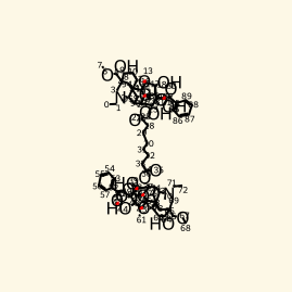 CCN1CC2(COC)C(O)CC(OC)C34C5CC6(O)C(CO)C(O)C(OC(=O)CCCCCCC(=O)OC78C(O)C(OC)C9(O)CC(C7C9OC(=O)c7ccccc7)C79C(OC)CC(O)C%10(COC)CN(CC)C7C8C(OC)C%109)(C5C6OC(=O)c5ccccc5)C(C(OC)C23)C14